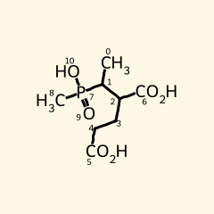 CC(C(CCC(=O)O)C(=O)O)P(C)(=O)O